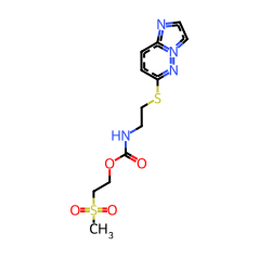 CS(=O)(=O)CCOC(=O)NCCSc1ccc2nccn2n1